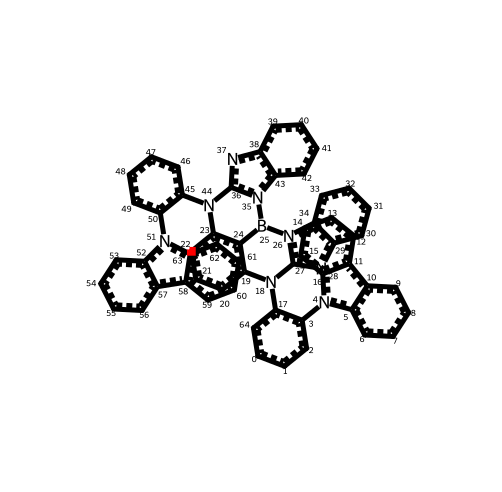 c1ccc(-n2c3ccccc3c3ccccc32)c(N2c3cccc4c3B(n3c2nc2ccccc23)n2c(nc3ccccc32)N4c2ccccc2-n2c3ccccc3c3ccccc32)c1